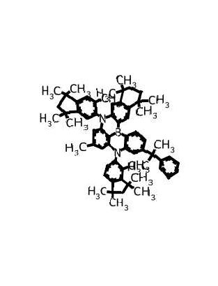 Cc1cc2c3c(c1)N(c1ccc4c(c1C)C(C)(C)CC4(C)C)c1cc(C(C)(C)c4ccccc4)ccc1B3c1cc3c(cc1N2c1cc2c(cc1C)C(C)(C)CC2(C)C)C(C)(C)CCC3(C)C